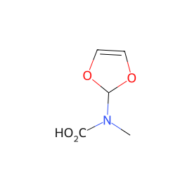 CN(C(=O)O)C1OC=CO1